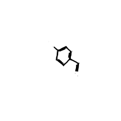 N=Cc1ccc(S(=O)(=O)O)cc1